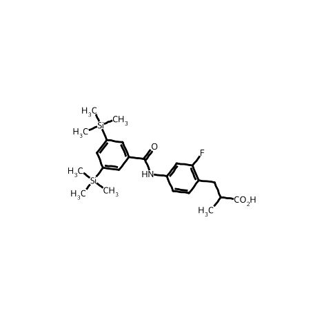 CC(Cc1ccc(NC(=O)c2cc([Si](C)(C)C)cc([Si](C)(C)C)c2)cc1F)C(=O)O